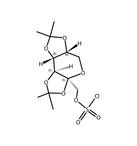 CC1(C)O[C@@H]2[C@@H](CO[C@@]3(COS(=O)(=O)Cl)OC(C)(C)O[C@@H]23)O1